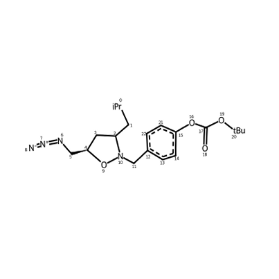 CC(C)CC1C[C@H](CN=[N+]=[N-])ON1Cc1ccc(OC(=O)OC(C)(C)C)cc1